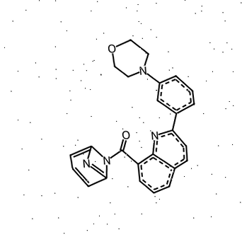 O=C(c1cccc2ccc(-c3cccc(N4CCOCC4)c3)nc12)N1C2=CC=CC1=N2